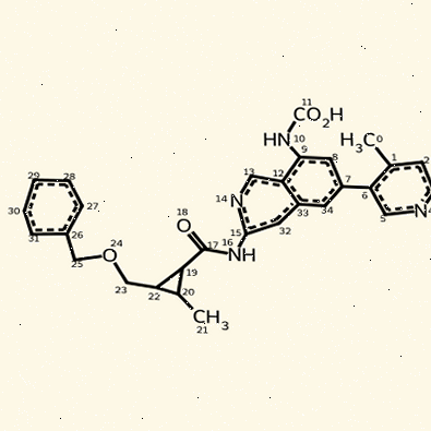 Cc1ccncc1-c1cc(NC(=O)O)c2cnc(NC(=O)C3C(C)C3COCc3ccccc3)cc2c1